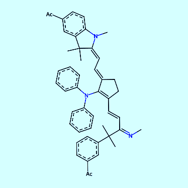 C/N=C(\C=C\C1=C(N(c2ccccc2)c2ccccc2)C(=C/C=C2/N(C)c3ccc(C(C)=O)cc3C2(C)C)/CC1)C(C)(C)c1cccc(C(C)=O)c1